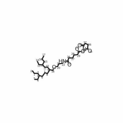 CCCC(CC)CCCC(CCC(CC)CCC)COCCCNC(=O)CCCCC(=O)ON1C(=O)CCC1=O